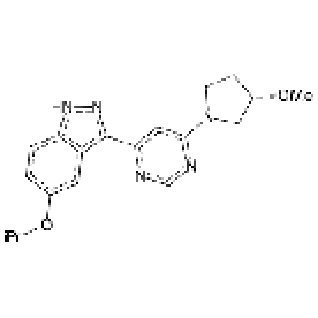 CO[C@H]1CCN(c2cc(-c3n[nH]c4ccc(OC(C)C)cc34)ncn2)C1